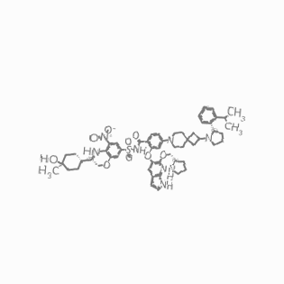 CC(C)c1ccccc1[C@@H]1CCCN1C1CC2(CCN(c3ccc(C(=O)NS(=O)(=O)c4cc5c(c([N+](=O)[O-])c4)N[C@@H]([C@H]4CC[C@](C)(O)CC4)CO5)c(Oc4cc5cc[nH]c5nc4OC[C@@H]4CCCN4)c3)CC2)C1